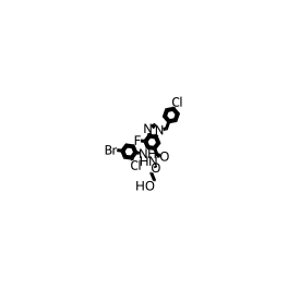 O=C(NOCCO)c1cc2c(ncn2Cc2ccc(Cl)cc2)c(F)c1Nc1ccc(Br)cc1Cl